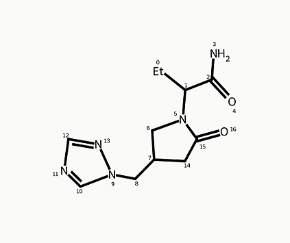 CCC(C(N)=O)N1CC(Cn2cncn2)CC1=O